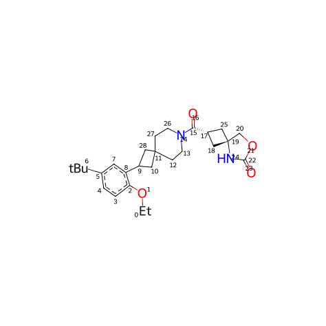 CCOc1ccc(C(C)(C)C)cc1C1CC2(CCN(C(=O)[C@H]3C[C@]4(COC(=O)N4)C3)CC2)C1